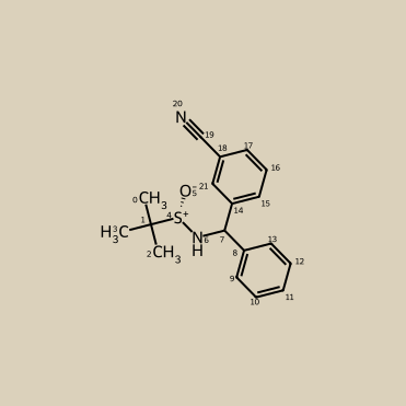 CC(C)(C)[S@+]([O-])NC(c1ccccc1)c1cccc(C#N)c1